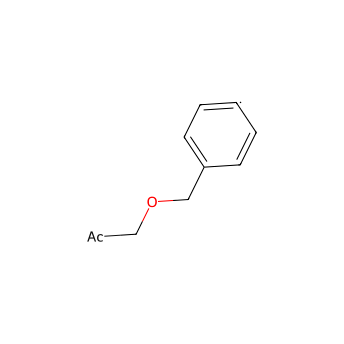 CC(=O)COCc1cc[c]cc1